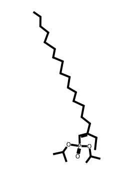 CCCCCCCCCCCCCCCCC(=CP(=O)(OC(C)C)OC(C)C)CC